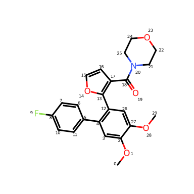 COc1cc(-c2ccc(F)cc2)c(-c2occc2C(=O)N2CCOCC2)cc1OC